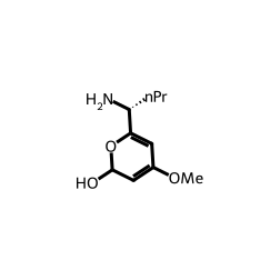 CCC[C@@H](N)C1=CC(OC)=CC(O)O1